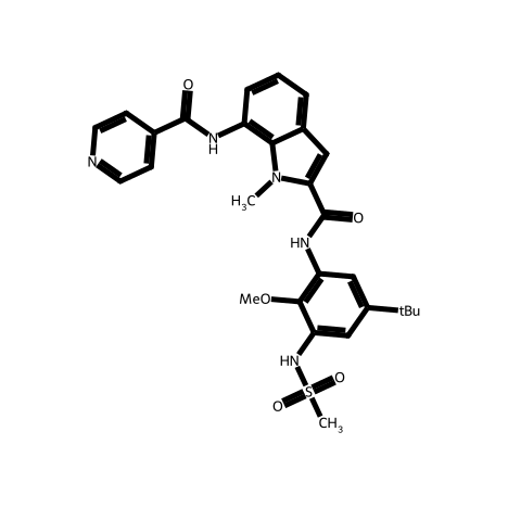 COc1c(NC(=O)c2cc3cccc(NC(=O)c4ccncc4)c3n2C)cc(C(C)(C)C)cc1NS(C)(=O)=O